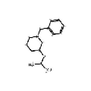 CC(OC1CCCN(Cc2ccccc2)C1)C(=O)O